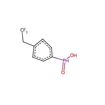 O=[PH](O)c1ccc(CC(F)(F)F)cc1